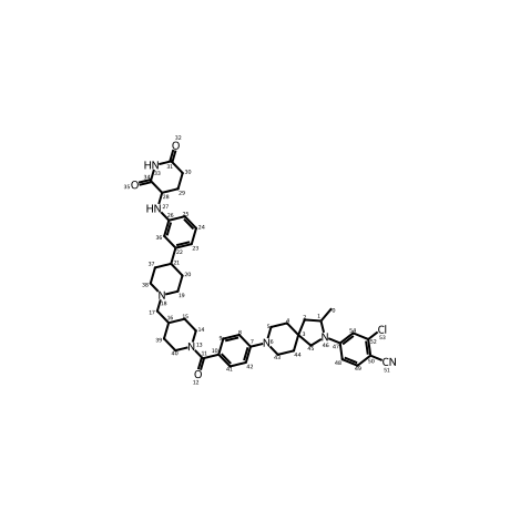 CC1CC2(CCN(c3ccc(C(=O)N4CCC(CN5CCC(c6cccc(NC7CCC(=O)NC7=O)c6)CC5)CC4)cc3)CC2)CN1c1ccc(C#N)c(Cl)c1